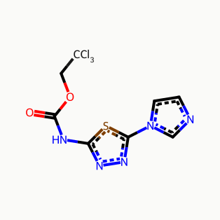 O=C(Nc1nnc(-n2ccnc2)s1)OCC(Cl)(Cl)Cl